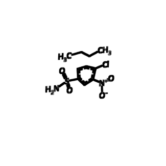 CCCC.NS(=O)(=O)c1ccc(Cl)c([N+](=O)[O-])c1